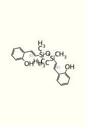 C[Si](C)(/C=C/c1ccccc1O)O[Si](C)(C)/C=C/c1ccccc1O